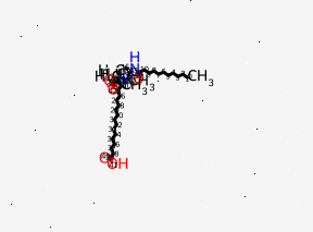 CCCCCCCCCCCC(=O)NC(CC)C(C)[N+](C)(C)C(C)(CCCCCCCCCCCCCCCC(=O)O)C(=O)[O-]